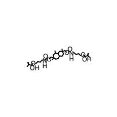 C=C(C)C(O)OCCCCNC(=O)OCC1(C)CCC2CCC(C)(COC(=O)NCCCCOC(O)C(=C)C)CC2C(C)C1